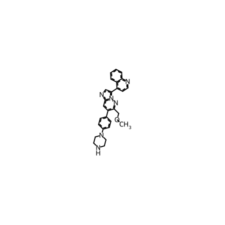 COCc1nn2c(-c3ccnc4ccccc34)cnc2cc1-c1ccc(N2CCNCC2)cc1